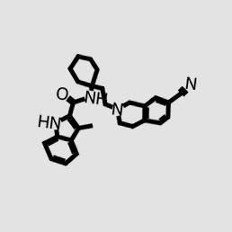 Cc1c(C(=O)NC2(CCN3CCc4ccc(C#N)cc4C3)CCCCC2)[nH]c2ccccc12